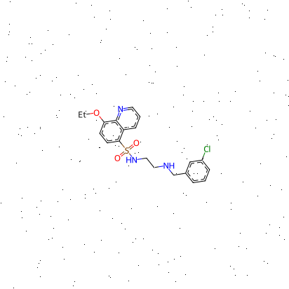 CCOc1ccc(S(=O)(=O)NCCNCc2cccc(Cl)c2)c2cccnc12